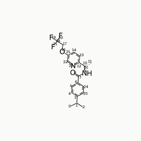 CC(C)c1ccc(C(=O)N[C@@H](C)c2ccc(OCC(F)(F)F)cn2)cc1